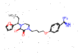 N=C(N)c1ccc(OCCCCN2CCN(C(CC(=O)O)c3ccco3)C(=O)C2=O)cc1